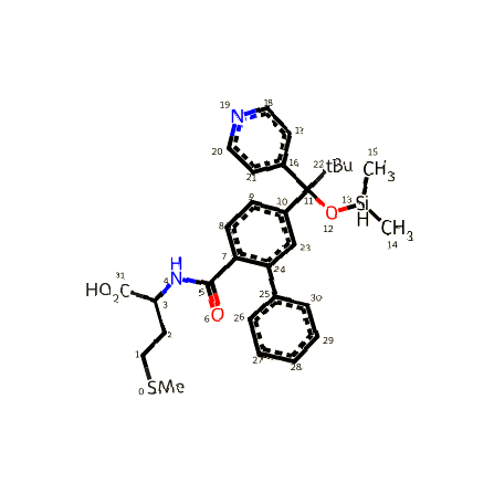 CSCCC(NC(=O)c1ccc(C(O[SiH](C)C)(c2ccncc2)C(C)(C)C)cc1-c1ccccc1)C(=O)O